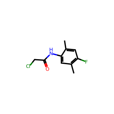 Cc1cc(NC(=O)CCl)c(C)cc1F